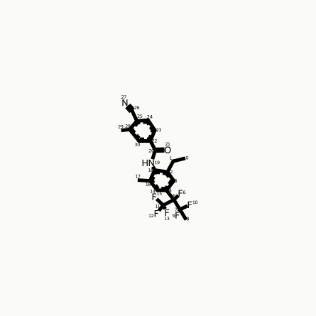 CCc1cc(C(F)(C(C)(F)F)C(F)(F)F)cc(C)c1NC(=O)c1ccc(C#N)c(C)c1